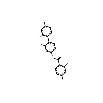 Cc1cc([N+](=O)[O-])ccc1C(=O)Nc1ccc(-c2ccc([N+](=O)[O-])cc2C(F)(F)F)c(C(F)(F)F)c1